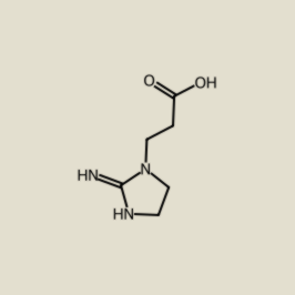 N=C1NCCN1CCC(=O)O